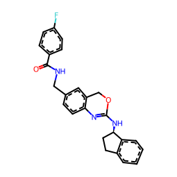 O=C(NCc1ccc2c(c1)COC(N[C@@H]1CCc3ccccc31)=N2)c1ccc(F)cc1